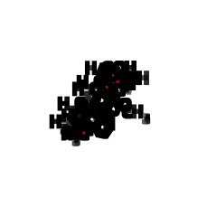 CCc1c([C@@](C[C@@H]2CNC[C@](O)(CC)C2)(C(=O)OC)C2C=C3C(=CC2OC)N(C)[C@H]2C(O)(C(N)=O)[C@H](O)[C@]4(CC)C=CCN5CC[C@]32[C@@H]54)[nH]c2ccccc12